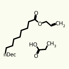 C=CCOC(=O)CCCCCCCCCCCCCCCCC.CCC(=O)O